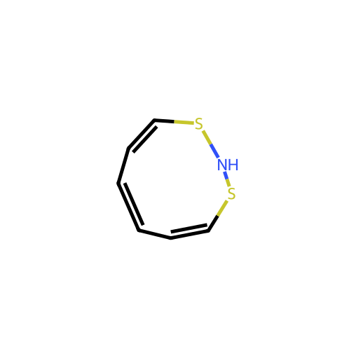 C1=CC=CSNSC=C1